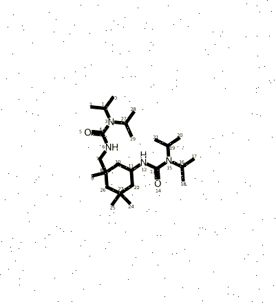 CC(C)N(C(=O)NCC1(C)CC(NC(=O)N(C(C)C)C(C)C)CC(C)(C)C1)C(C)C